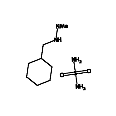 CNNCC1CCCCC1.NS(N)(=O)=O